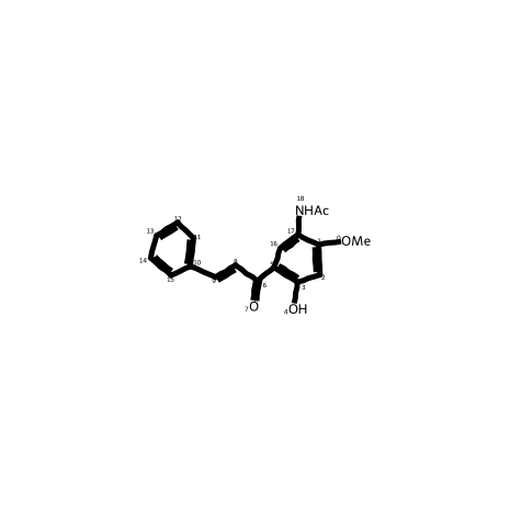 COc1cc(O)c(C(=O)C=Cc2ccccc2)cc1NC(C)=O